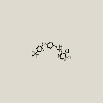 FC(F)(F)c1ccc(Oc2ccc(CCNc3ncnc(Cl)c3Cl)cc2)nc1